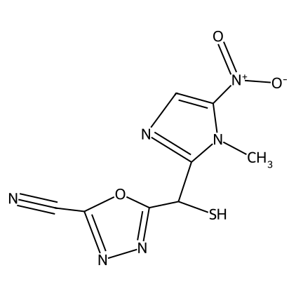 Cn1c([N+](=O)[O-])cnc1C(S)c1nnc(C#N)o1